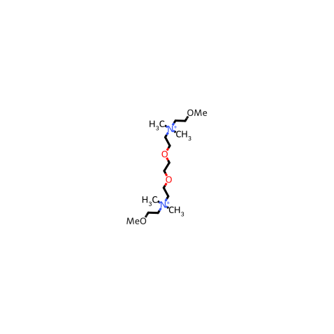 COCC[N+](C)(C)CCOCCOCC[N+](C)(C)CCOC